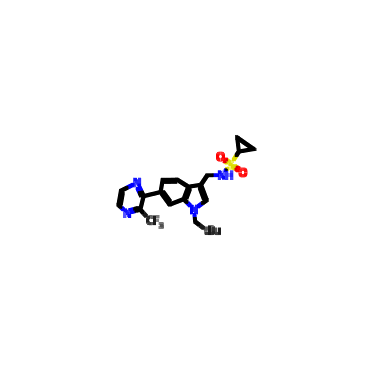 CC(C)(C)Cn1cc(CNS(=O)(=O)C2CC2)c2ccc(-c3nccnc3C(F)(F)F)cc21